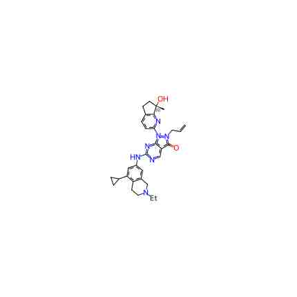 C=CCn1c(=O)c2cnc(Nc3cc4c(c(C5CC5)c3)CCN(CC)C4)nc2n1-c1ccc2c(n1)[C@@](C)(O)CC2